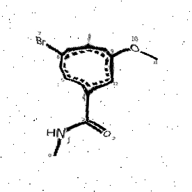 CNC(=O)c1cc(Br)cc(OC)c1